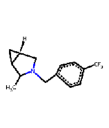 CC1C2C[C@@H]2CN1Cc1ccc(C(F)(F)F)cc1